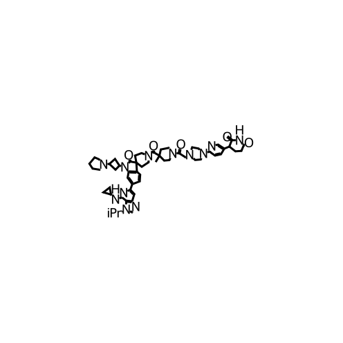 CC(C)n1cnc2cc(-c3ccc4c(c3)N(C3CC(N5CCCCC5)C3)C(=O)C43CCN(C(=O)C4(C)CCN(C(=O)CN5CCN(c6ccc(C7CCC(=O)NC7=O)cn6)CC5)CC4)CC3)nc(NC3CC3)c21